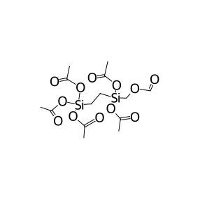 CC(=O)O[Si](CC[Si](OC(C)=O)(OC(C)=O)OC(C)=O)(COC=O)OC(C)=O